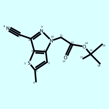 Cc1cc2c(s1)c(C#N)nn2CC(=O)OC(C)(C)C